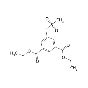 CCOC(=O)c1cc(CS(C)(=O)=O)cc(C(=O)OCC)c1